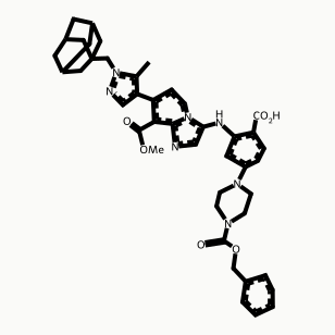 COC(=O)c1c(-c2cnn(CC34CC5CC(CC(C5)C3)C4)c2C)ccn2c(Nc3cc(N4CCN(C(=O)OCc5ccccc5)CC4)ccc3C(=O)O)cnc12